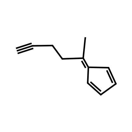 C#CCCC(C)=C1C=CC=C1